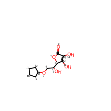 O=C1O[C@H]([C@@H](O)COC2CCCC2)C(O)=C1O